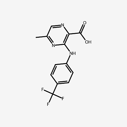 Cc1cnc(C(=O)O)c(Nc2ccc(C(F)(F)F)cc2)n1